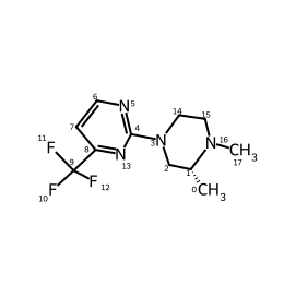 C[C@@H]1CN(c2nccc(C(F)(F)F)n2)CCN1C